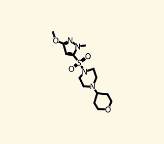 COc1cc(S(=O)(=O)N2CCN(C3CCOCC3)CC2)n(C)n1